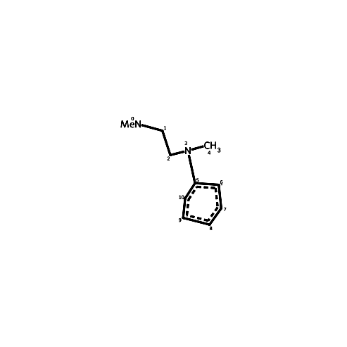 CNCCN(C)c1[c]cccc1